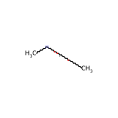 CCCCCCCC/C=C\CCCCCCCC[CH]CCCCCCCCCCCCCCCCC